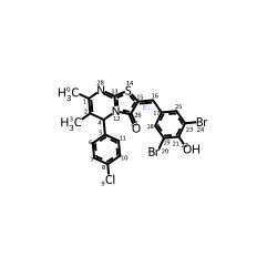 CC1=C(C)C(c2ccc(Cl)cc2)n2c(s/c(=C/c3cc(Br)c(O)c(Br)c3)c2=O)=N1